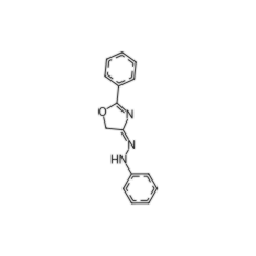 c1ccc(NN=C2COC(c3ccccc3)=N2)cc1